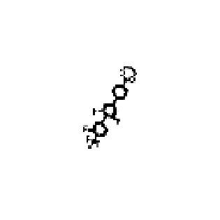 Fc1cc(-c2c(F)cc(C3=CC=C(C4OCCCO4)CC3)cc2F)ccc1C(F)(F)F